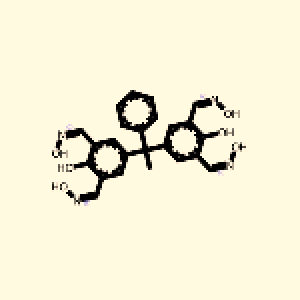 CC(c1ccccc1)(c1cc(/C=N\O)c(O)c(/C=N\O)c1)c1cc(/C=N\O)c(O)c(/C=N\O)c1